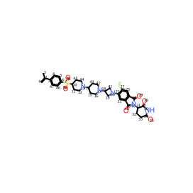 C=C(C)c1ccc(S(=O)(=O)C2CCN(C3CCN(C4CN(c5cc6c(cc5F)C(=O)N(C5CCC(=O)NC5=O)C6=O)C4)CC3)CC2)cc1